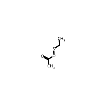 CCSOC(C)=O